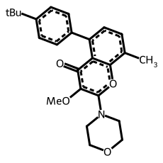 COc1c(N2CCOCC2)oc2c(C)ccc(-c3ccc(C(C)(C)C)cc3)c2c1=O